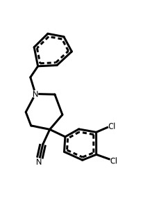 N#CC1(c2ccc(Cl)c(Cl)c2)CCN(Cc2ccccc2)CC1